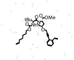 C=CCCCCCOC(=O)N[C@H](C(=O)N1C[C@H](OCC#Cc2ccccc2C=C)C[C@H]1C(=O)OC)C(C)(C)C